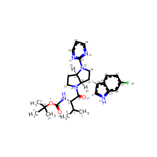 CC(C)[C@H](NC(=O)OC(C)(C)C)C(=O)N1CC[C@@H]2[C@H]1[C@@H](c1c[nH]c3cc(F)ccc13)CN2c1ncccn1